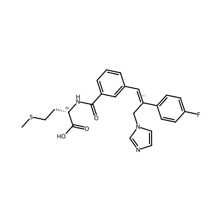 CSCC[C@H](NC(=O)c1cccc(/C=C(\Cn2ccnc2)c2ccc(F)cc2)c1)C(=O)O